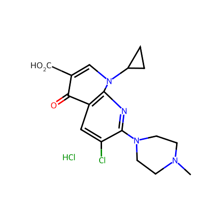 CN1CCN(c2nc3c(cc2Cl)c(=O)c(C(=O)O)cn3C2CC2)CC1.Cl